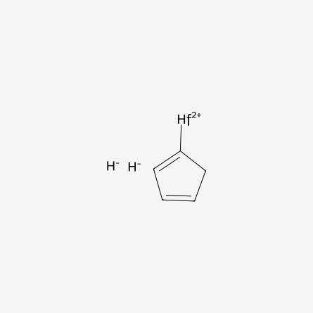 [H-].[H-].[Hf+2][C]1=CC=CC1